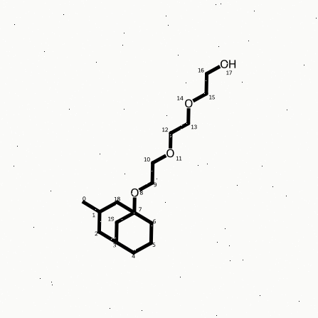 CC1CC2CCCC(OCCOCCOCCO)(C1)C2